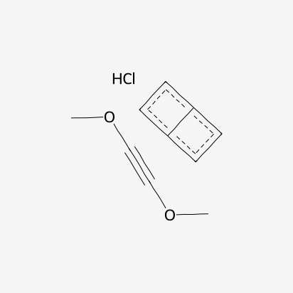 COC#COC.Cl.c1cc2ccc1-2